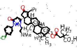 CNCCn1c([C@@]23CC[C@]4(C)[C@H](CC[C@@H]5[C@@]6(C)CC[C@H](OC(=O)CC(C)(C)C(=O)O)C(C)(C)[C@@H]6CC[C@]54C)C2=C(C(C)C)C(=O)C3)cc(=O)n1-c1ccc(Cl)cc1